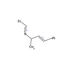 CC/C=N/C(C)/C=C/C(C)C